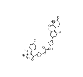 [2H]C([2H])([2H])N(C(=O)N1CC(OC(=O)NC2CN(c3cc(F)c(C4CCC(=O)NC4=O)c(F)c3)C2)C1)c1ccc(Cl)cc1